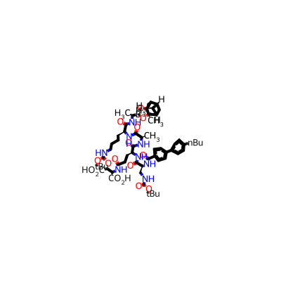 CCCCc1ccc(-c2ccc(C(=O)N[C@@H](CNC(=O)OC(C)(C)C)C(=O)N[C@@H](CCC(=O)N[C@H](CC(=O)O)C(=O)O)C(=O)N[C@@H](C)C(=O)N[C@@H](CCCCNC(=O)OC(C)(C)C)C(=O)N[C@@H](C)B3OC4C[C@@H]5C[C@@H](C5(C)C)[C@]4(C)O3)cc2)cc1